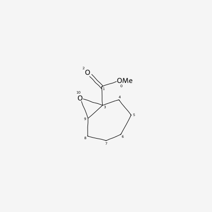 COC(=O)C12CCCCCC1O2